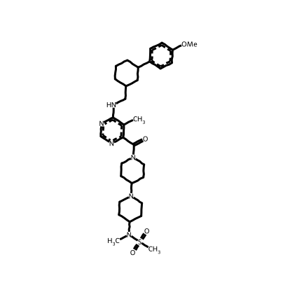 COc1ccc(C2CCCC(CNc3ncnc(C(=O)N4CCC(N5CCC(N(C)S(C)(=O)=O)CC5)CC4)c3C)C2)cc1